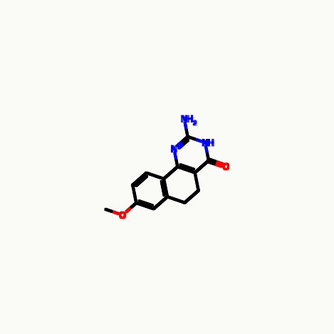 COc1ccc2c(c1)CCc1c-2nc(N)[nH]c1=O